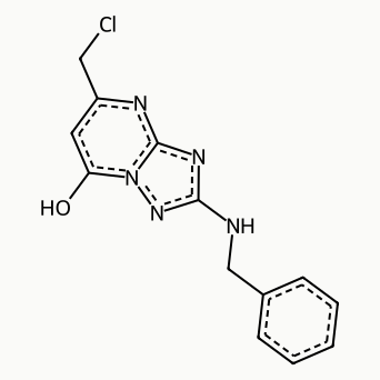 Oc1cc(CCl)nc2nc(NCc3ccccc3)nn12